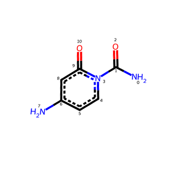 NC(=O)n1ccc(N)cc1=O